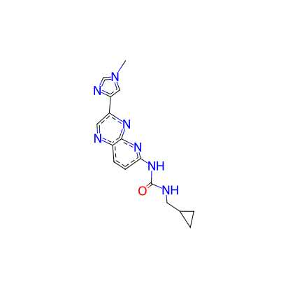 Cn1cnc(-c2cnc3ccc(NC(=O)NCC4CC4)nc3n2)c1